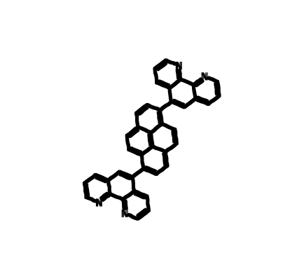 c1cnc2c(c1)cc(-c1ccc3ccc4c(-c5cc6cccnc6c6ncccc56)ccc5ccc1c3c54)c1cccnc12